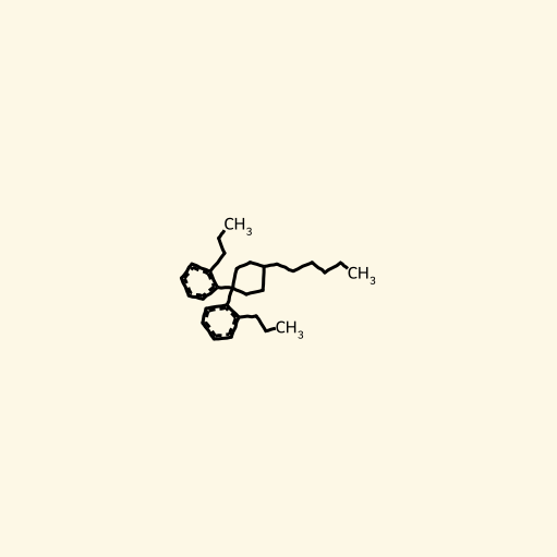 CCCCCCC1CCC(c2ccccc2CCC)(c2ccccc2CCC)CC1